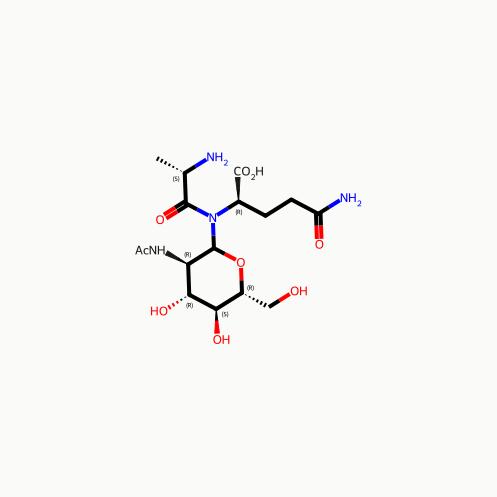 CC(=O)N[C@H]1C(N(C(=O)[C@H](C)N)[C@H](CCC(N)=O)C(=O)O)O[C@H](CO)[C@@H](O)[C@@H]1O